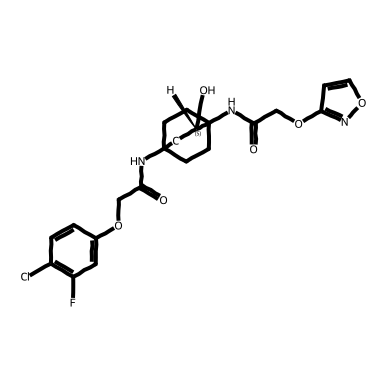 O=C(COc1ccc(Cl)c(F)c1)NC12CCC(NC(=O)COc3ccon3)(CC1)[C@@H](O)C2